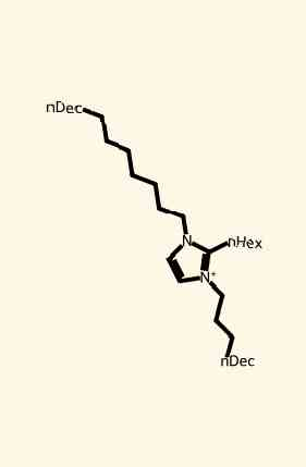 CCCCCCCCCCCCCCCCCn1cc[n+](CCCCCCCCCCCCC)c1CCCCCC